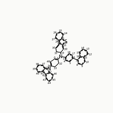 C1=C(N(c2ccc(-c3cccc4ccccc34)cc2)C2C=c3sc4ccccc4c3=CC2)CCC(n2c3ccccc3c3ccccc32)=C1